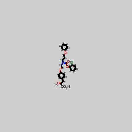 CCOC(Cc1ccc(OCCN(CCCOc2ccccc2)C(=O)Oc2ccccc2Cl)cc1)C(=O)O